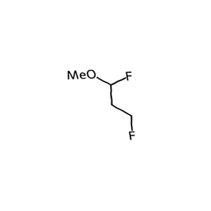 COC(F)CCF